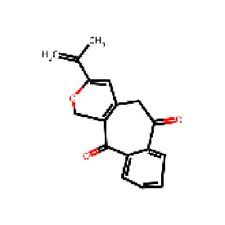 C=C(C)C1=CC2=C(CO1)C(=O)c1ccccc1C(=O)C2